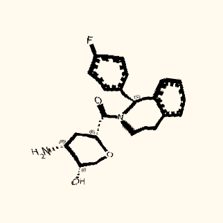 N[C@@H]1C[C@H](C(=O)N2CCc3ccccc3[C@@H]2c2ccc(F)cc2)OC[C@@H]1O